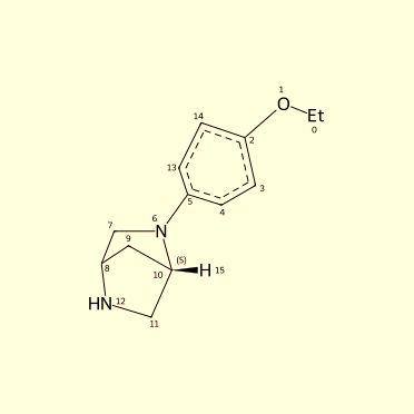 CCOc1ccc(N2CC3C[C@H]2CN3)cc1